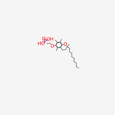 CCCCCCCCCC1(C)CCc2c(C)c(OCCP(=O)(O)O)c(C)c(C)c2O1